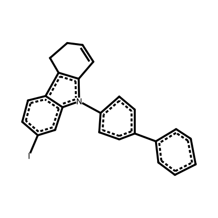 Ic1ccc2c3c(n(-c4ccc(-c5ccccc5)cc4)c2c1)C=CCC3